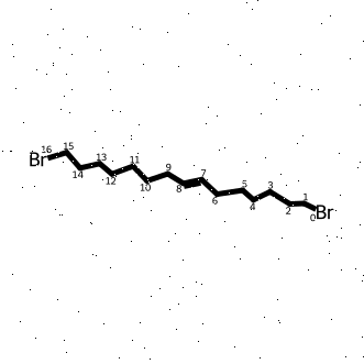 BrCCCCCCC=CCCCCCCCBr